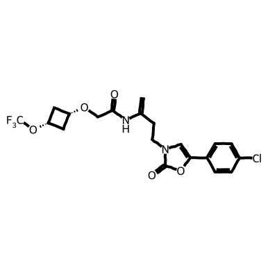 C=C(CCn1cc(-c2ccc(Cl)cc2)oc1=O)NC(=O)CO[C@H]1C[C@@H](OC(F)(F)F)C1